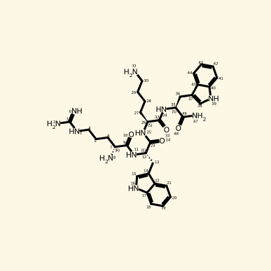 N=C(N)NCCC[C@@H](N)C(=O)N[C@@H](Cc1c[nH]c2ccccc12)C(=O)N[C@@H](CCCCN)C(=O)N[C@@H](Cc1c[nH]c2ccccc12)C(N)=O